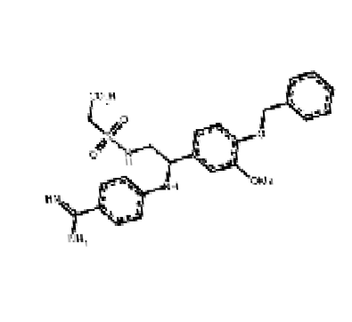 COc1cc(C(CNS(=O)(=O)CC(=O)O)Nc2ccc(C(=N)N)cc2)ccc1OCc1ccccc1